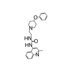 Cc1cc(NC(=O)NCCN2CCC(Oc3ccccc3)CC2)c2ccccc2n1